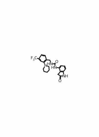 O=C1Cc2c(cccc2NC(=O)NCc2ccc(C(F)(F)F)cc2N2CCCCC2)N1